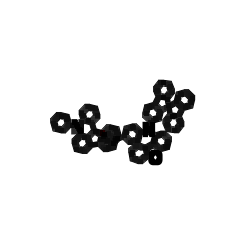 c1ccc(N2c3ccccc3C3(c4ccccc4)c4cc(-c5ccc(N(c6ccc7c(c6)C6(c8ccccc8-c8ccccc86)c6ccccc6-7)c6cccc7oc8ccccc8c67)cc5)ccc4-c4cccc2c43)cc1